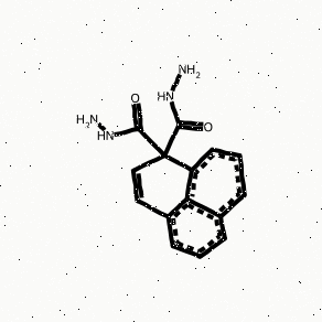 NNC(=O)C1(C(=O)NN)C=Cc2cccc3cccc1c23